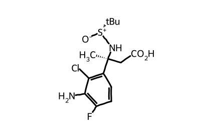 CC(C)(C)[S@@+]([O-])N[C@@](C)(CC(=O)O)c1ccc(F)c(N)c1Cl